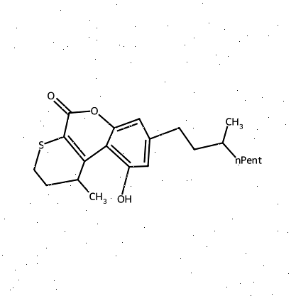 CCCCCC(C)CCc1cc(O)c2c3c(c(=O)oc2c1)SCCC3C